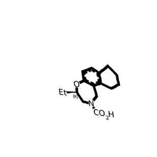 CC[C@@H]1CN(C(=O)O)Cc2c(ccc3c2CCCC3)O1